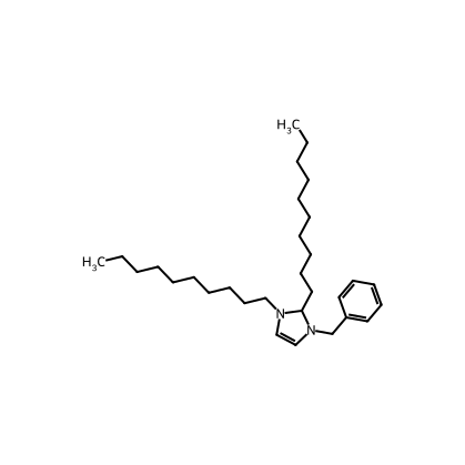 CCCCCCCCCCC1N(CCCCCCCCCC)C=CN1Cc1ccccc1